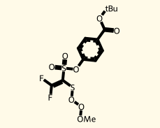 COOOSC(=C(F)F)S(=O)(=O)Oc1ccc(C(=O)OC(C)(C)C)cc1